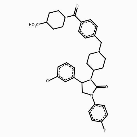 O=C(O)C1CCN(C(=O)c2ccc(CN3CCC(N4C(=O)N(c5ccc(F)cc5)CC4c4cccc(Cl)c4)CC3)cc2)CC1